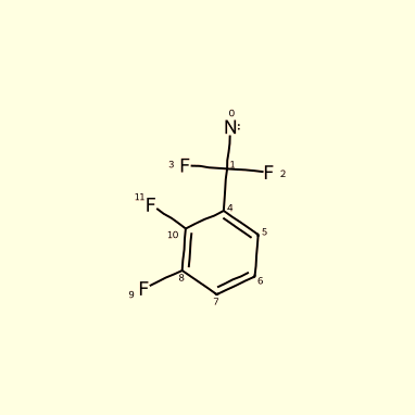 [N]C(F)(F)c1cccc(F)c1F